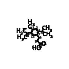 Cc1cc(C(C)C)c(C=CC(=O)O)cc1C(C)C